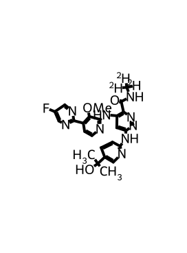 [2H]C([2H])([2H])NC(=O)c1nnc(Nc2ccc(C(C)(C)O)cn2)cc1Nc1nccc(-c2ncc(F)cn2)c1OC